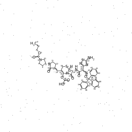 C=CCOC(=O)N1CC[C@@H](N2CC/C(=C\C3=C(OC(=O)O)N4C(=O)[C@@H](NC(=O)/C(=N\OC(c5ccccc5)(c5ccccc5)c5ccccc5)c5nsc(N)n5)[C@H]4SC3)C2=O)C1